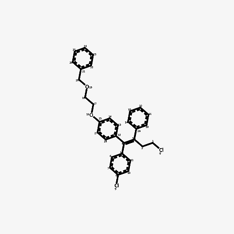 ClCC/C(=C(\c1ccc(Cl)cc1)c1ccc(OCCOCc2ccccc2)cc1)c1ccccc1